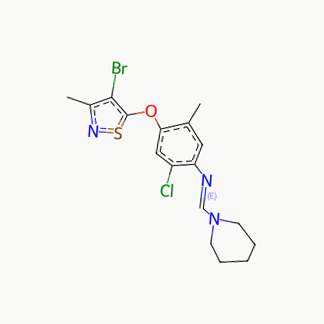 Cc1cc(/N=C/N2CCCCC2)c(Cl)cc1Oc1snc(C)c1Br